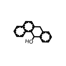 OC1c2ccccc2Cc2ccc3ccccc3c21